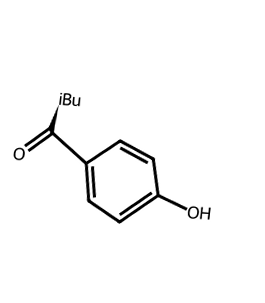 CC[C@H](C)C(=O)c1ccc(O)cc1